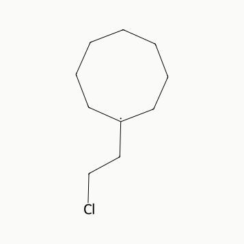 ClCC[C]1CCCCCCC1